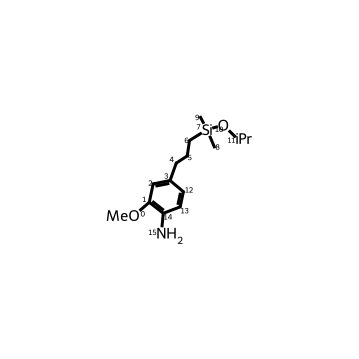 COc1cc(CCC[Si](C)(C)OC(C)C)ccc1N